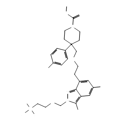 Cc1c2cc(Cl)cc(CCOCC3(c4ccc(F)cc4)CCN(C(=O)OC(C)(C)C)CC3)c2nn1COCC[Si](C)(C)C